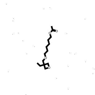 CCC1(COCCCCCCOC(C)=O)COC1